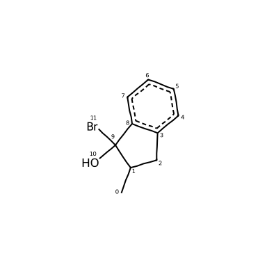 CC1Cc2ccccc2C1(O)Br